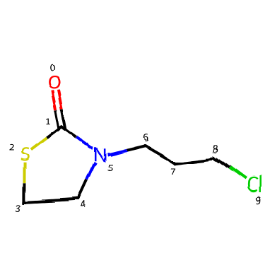 O=C1SCCN1CCCCl